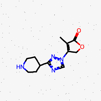 CC1=C(n2cnc(C3CCNCC3)n2)COC1=O